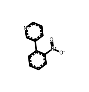 O=[N+]([O-])c1ccccc1-c1cccnc1